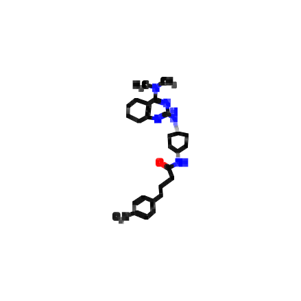 CN(C)c1nc(N[C@H]2CC[C@@H](NC(=O)CCCc3ccc([N+](=O)[O-])cc3)CC2)nc2c1CCCC2